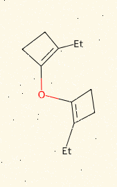 CCC1=C(OC2=C(CC)CC2)CC1